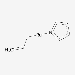 C=C[CH2][Ru][n]1cccc1